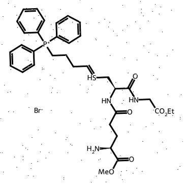 CCOC(=O)CNC(=O)[C@H](C[SH]=CCCC[P+](c1ccccc1)(c1ccccc1)c1ccccc1)NC(=O)CC[C@H](N)C(=O)OC.[Br-]